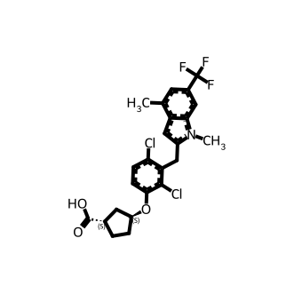 Cc1cc(C(F)(F)F)cc2c1cc(Cc1c(Cl)ccc(O[C@H]3CC[C@H](C(=O)O)C3)c1Cl)n2C